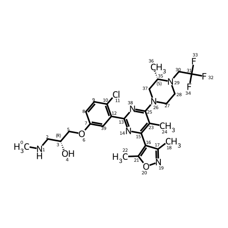 CNC[C@@H](O)COc1ccc(Cl)c(-c2nc(-c3c(C)noc3C)c(C)c(N3CCN(CC(F)(F)F)[C@@H](C)C3)n2)c1